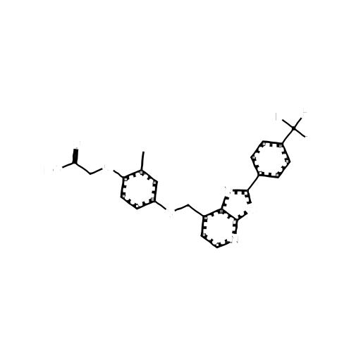 Cc1cc(SCc2ccnc3oc(-c4ccc(C(F)(F)F)cc4)nc23)ccc1OCC(=O)O